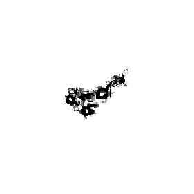 CCc1ccccc1N1CC(CC(=O)Oc2cccc(CNC(=O)OC(C)(C)C)c2)N(C(N)=O)c2ccccc2C1=O